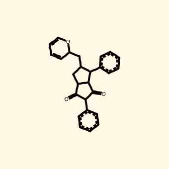 O=C1C(c2ccccc2)C(=O)C2C1CC(CC1C=CC=CO1)C2c1ccccc1